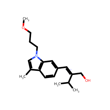 COCCCn1cc(C)c2ccc(/C=C(/CO)C(C)C)cc21